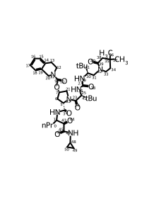 CCCC(NC(=O)[C@@H]1C[C@@H](OC(=O)N2CCc3ccccc3C2)CN1C(=O)[C@@H](NC(=O)N[C@H](CN1CCC(C)(C)CC1=O)C(C)(C)C)C(C)(C)C)C(=O)C(=O)NC1CC1